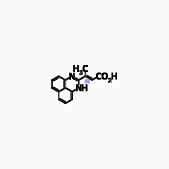 C/C(=C\C(=O)O)C1=Nc2cccc3cccc(c23)N1